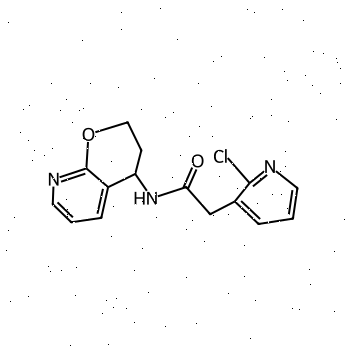 O=C(Cc1cccnc1Cl)NC1CCOc2ncccc21